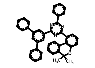 CC1(C)Oc2cccc(-c3nc(-c4ccccc4)nc(-c4cc(-c5ccccc5)cc(-c5ccccc5)c4)n3)c2-c2ccccc21